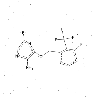 Nc1ncc(Br)nc1OCc1cccc(F)c1C(F)(F)F